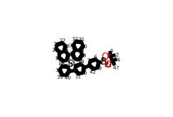 CC1(C)OB(c2ccc(-c3ccc4c(c3)[Si](c3ccc5ccccc5c3)(c3ccc5ccccc5c3)c3ccccc3-4)cc2)OC1(C)C